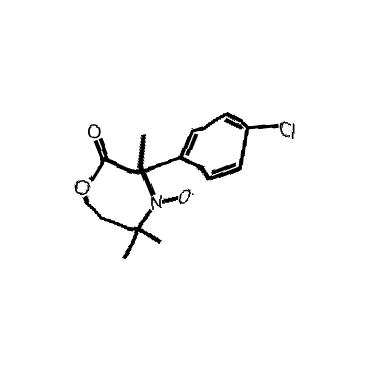 CC1(C)COC(=O)C(C)(c2ccc(Cl)cc2)N1[O]